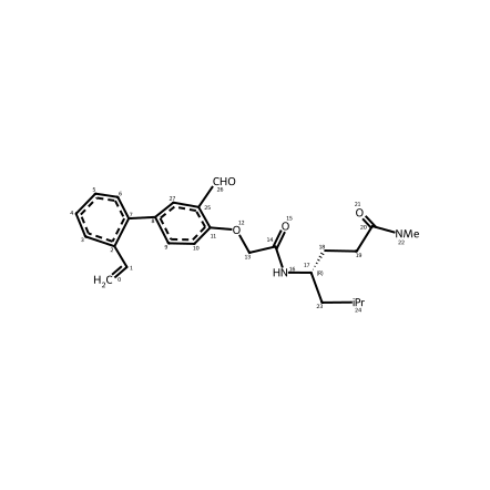 C=Cc1ccccc1-c1ccc(OCC(=O)N[C@H](CCC(=O)NC)CC(C)C)c(C=O)c1